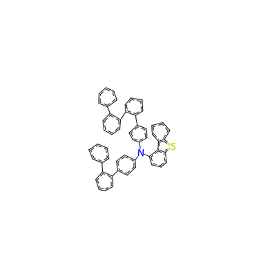 c1ccc(-c2ccccc2-c2ccc(N(c3ccc(-c4ccccc4-c4ccccc4-c4ccccc4)cc3)c3cccc4sc5ccccc5c34)cc2)cc1